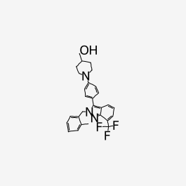 Cc1ccccc1Cn1nc2c(C(F)(F)F)cccc2c1-c1ccc(N2CCC(CO)CC2)cc1